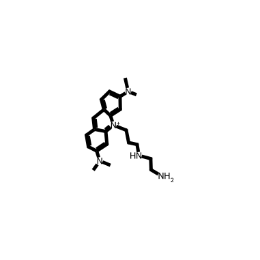 CN(C)c1ccc2cc3ccc(N(C)C)cc3[n+](CCCNCCN)c2c1